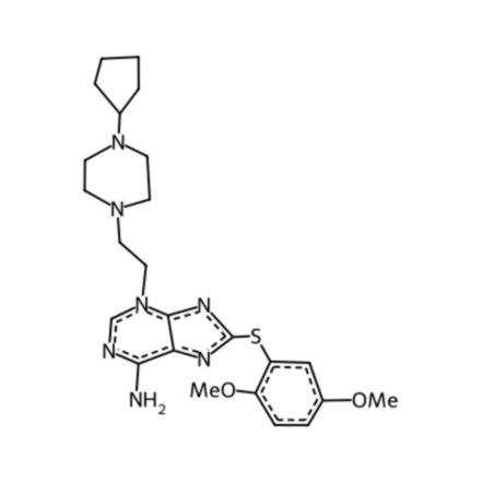 COc1ccc(OC)c(Sc2nc3c(N)ncn(CCN4CCN(C5CCCC5)CC4)c-3n2)c1